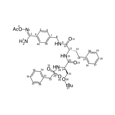 CC(=O)O/N=C(\N)c1ccc(CNC(=O)[C@H](CCc2ccccc2)NC(=O)[C@@H](COC(C)(C)C)NS(=O)(=O)Cc2ccccc2)cc1